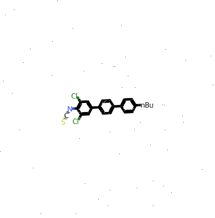 CCCCc1ccc(-c2ccc(-c3cc(Cl)c(N=C=S)c(Cl)c3)cc2)cc1